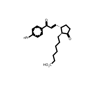 CCCc1ccc(C(=O)C=C[C@@H]2CCC(=O)[C@H]2CCCCCCC(=O)O)cc1